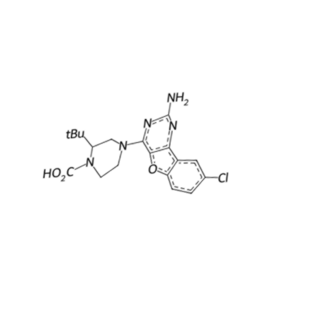 CC(C)(C)C1CN(c2nc(N)nc3c2oc2ccc(Cl)cc23)CCN1C(=O)O